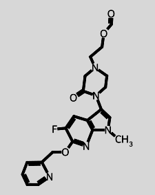 Cn1cc(N2CCN(CCOC=O)CC2=O)c2cc(F)c(OCc3ccccn3)nc21